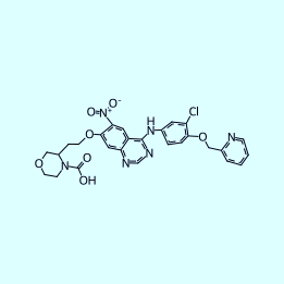 O=C(O)N1CCOCC1CCOc1cc2ncnc(Nc3ccc(OCc4ccccn4)c(Cl)c3)c2cc1[N+](=O)[O-]